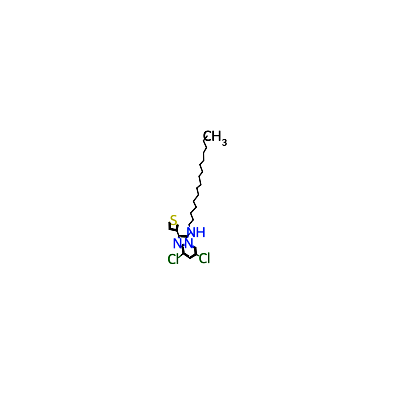 CCCCCCCCCCCCCCCCNc1c(-c2ccsc2)nc2c(Cl)cc(Cl)cn12